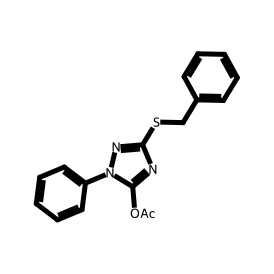 CC(=O)Oc1nc(SCc2ccccc2)nn1-c1ccccc1